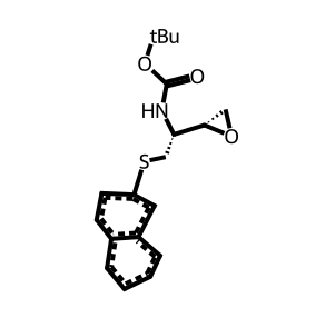 CC(C)(C)OC(=O)N[C@@H](CSc1ccc2ccccc2c1)[C@@H]1CO1